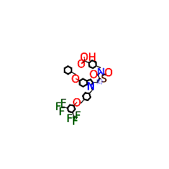 O=C(O)c1ccc(CN2C(=O)S/C(=C/c3cc4cc(OCc5ccccc5)ccc4n3Cc3ccc(COc4cc(C(F)(F)F)cc(C(F)(F)F)c4)cc3)C2=O)cc1